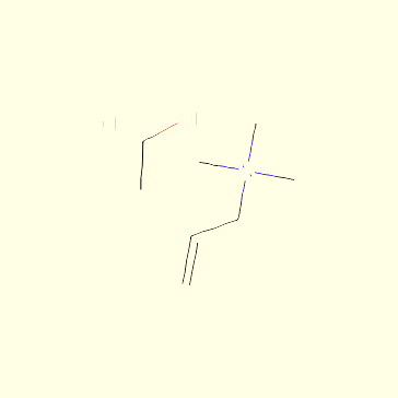 C=CC[N+](C)(C)C.CCO.[Cl-]